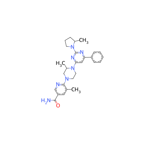 Cc1cc(C(N)=O)cnc1N1CCN(c2cc(-c3ccccc3)nc(N3CCCC3C)n2)C(C)C1